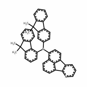 CC1(C)c2ccccc2-c2ccc(N(c3cccc4c3-c3ccccc3C4(C)C)c3ccc4c5c(cccc35)-c3ncccc3-4)cc21